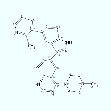 Cc1ncccc1-c1cnc2[nH]cc(-c3ccc4ncnc(N5CCN(C)CC5)c4c3)c2c1